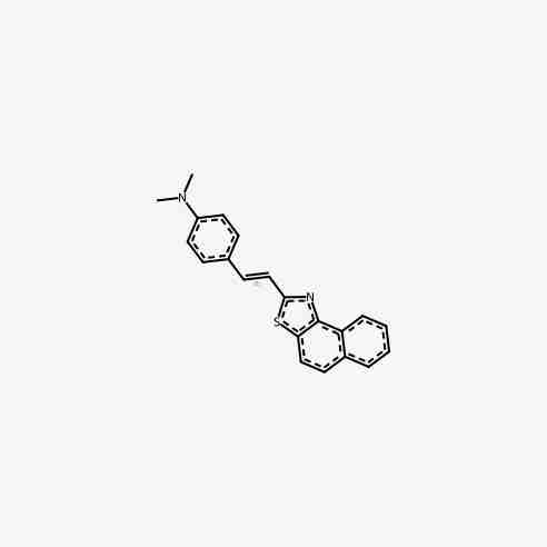 CN(C)c1ccc(/C=C/c2nc3c(ccc4ccccc43)s2)cc1